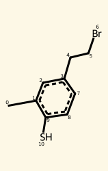 Cc1cc(CCBr)ccc1S